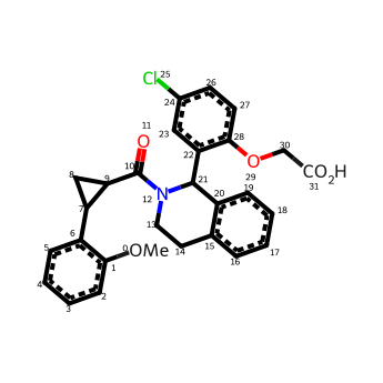 COc1ccccc1C1CC1C(=O)N1CCc2ccccc2C1c1cc(Cl)ccc1OCC(=O)O